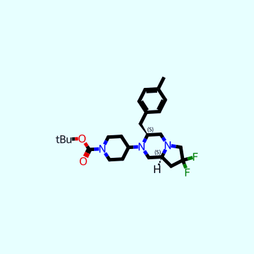 Cc1ccc(C[C@H]2CN3CC(F)(F)C[C@H]3CN2C2CCN(C(=O)OC(C)(C)C)CC2)cc1